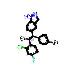 CC/C(=C(/c1ccc(C(C)C)cc1)c1ccc2[nH]ncc2c1)c1ccc(F)cc1Cl